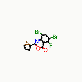 O=c1oc(-c2cccs2)nc2c(Br)cc(Br)c(F)c12